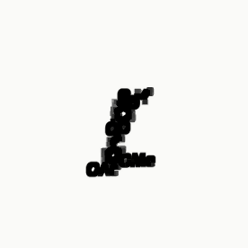 C=CCOC(=O)[C@]1(C)CC[C@H](OC(=O)C=Cc2ccc(OC(C)=O)c(OC)c2)CC1